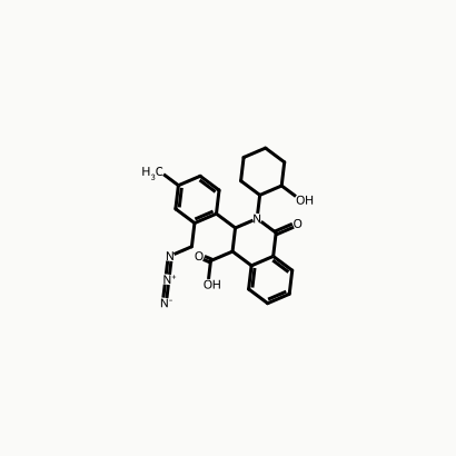 Cc1ccc(C2C(C(=O)O)c3ccccc3C(=O)N2C2CCCCC2O)c(CN=[N+]=[N-])c1